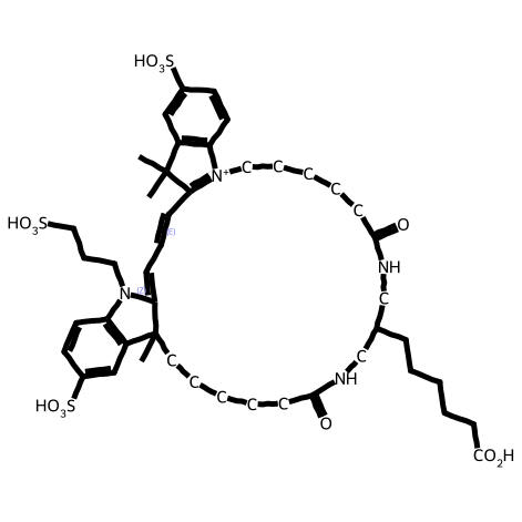 CC1(C)C2=[N+](CCCCCC(=O)NCC(CCCCCC(=O)O)CNC(=O)CCCCCC3(C)/C(=C/C=C/2)N(CCCS(=O)(=O)O)c2ccc(S(=O)(=O)O)cc23)c2ccc(S(=O)(=O)O)cc21